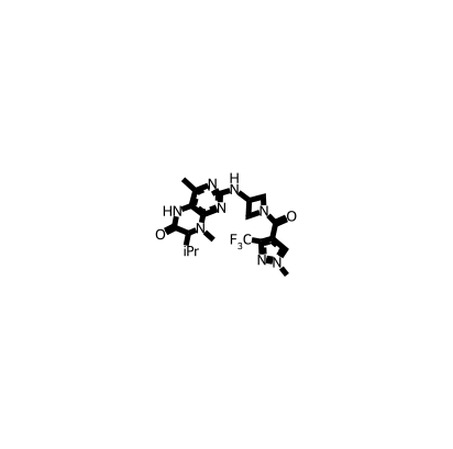 Cc1nc(NC2CN(C(=O)c3cn(C)nc3C(F)(F)F)C2)nc2c1NC(=O)C(C(C)C)N2C